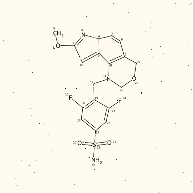 COC1=NC2C=CC3=C(C2=C1)N(Cc1c(F)cc(S(N)(=O)=O)cc1F)COC3